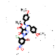 COC(=O)c1c(N(Cc2ccc(OC)cc2)Cc2ccc(OC)cc2)ncn(-c2c(Cl)cc([N+](=O)[O-])cc2Br)c1=O